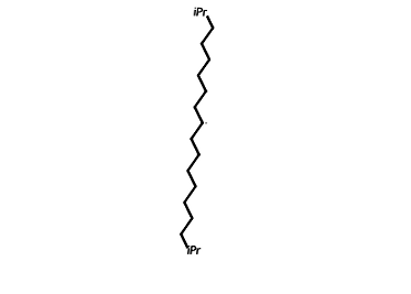 CC(C)CCCCCC[CH]CCCCCCCC(C)C